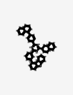 C1=CC(c2nc(-c3ccc(-c4cccc5ccccc45)cc3)nc(-c3cccc(-c4cccc5oc6ccccc6c45)c3)n2)Cc2ccccc21